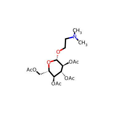 CC(=O)OC[C@@H]1O[C@H](OCCN(C)C)[C@@H](OC(C)=O)[C@H](OC(C)=O)[C@H]1OC(C)=O